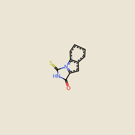 O=C1NC(=S)n2c1cc1ccccc12